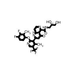 Cc1c(Oc2ncc(C(F)(F)F)c(C)c2-c2cc(=O)c3c(C(=O)NC[C@H](O)CO)nccc3[nH]2)ccc(F)c1F